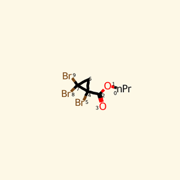 CCCOC(=O)C1(Br)CC1(Br)Br